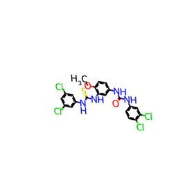 COc1ccc(NC(=O)Nc2ccc(Cl)c(Cl)c2)cc1NC(=S)Nc1cc(Cl)cc(Cl)c1